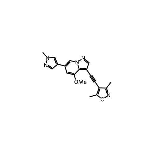 COc1cc(-c2cnn(C)c2)cn2ncc(C#Cc3c(C)noc3C)c12